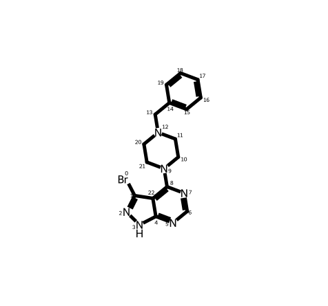 Brc1n[nH]c2ncnc(N3CCN(Cc4ccccc4)CC3)c12